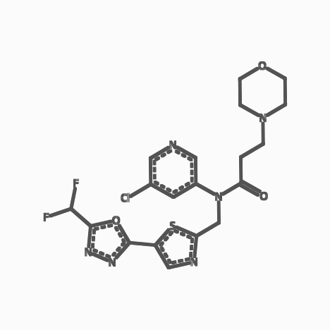 O=C(CCN1CCOCC1)N(Cc1ncc(-c2nnc(C(F)F)o2)s1)c1cncc(Cl)c1